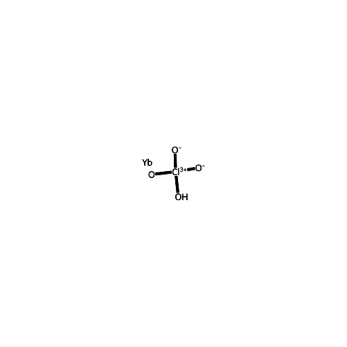 [O-][Cl+3]([O-])([O-])O.[Yb]